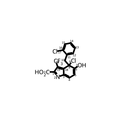 O=C(O)C1=NC2=CC=C(O)C(Cl)(Cc3ccccc3Cl)C2=C1C(F)(F)F